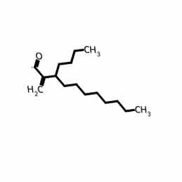 C=C([C]=O)C(CCCC)CCCCCCCC